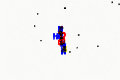 Cc1ncsc1CCN1CCN(C(=O)Oc2ccc(NC(=O)c3ccc(CN4CCCCC4)cc3)cc2)CC1